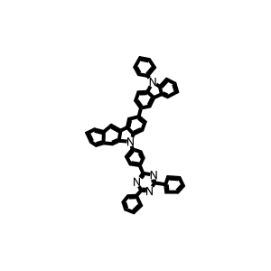 c1ccc(-c2nc(-c3ccccc3)nc(-c3ccc(-n4c5ccc(-c6ccc7c(c6)c6ccccc6n7-c6ccccc6)cc5c5cc6ccccc6cc54)cc3)n2)cc1